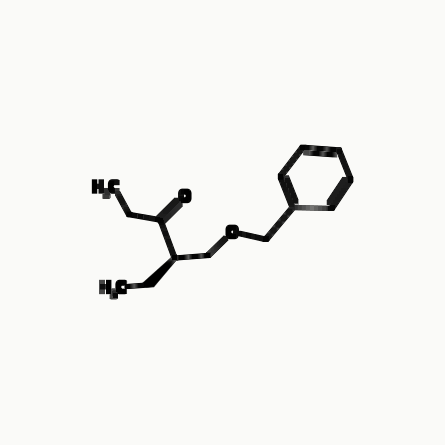 CCC(=O)[C@H](CC)COCc1ccccc1